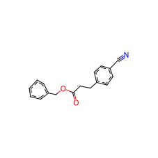 N#Cc1ccc(C[CH]C(=O)OCc2ccccc2)cc1